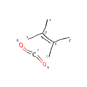 CC(C)=C(C)C.O=C=O